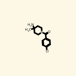 CC1(N)CCN(C(=O)c2ccc(Cl)cc2)CC1